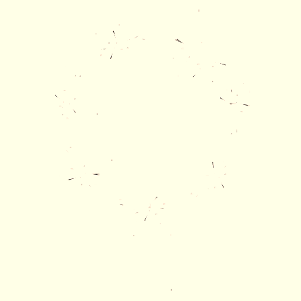 OC1C(O)C(O)C(O)C(O)C1O.OC[C@H]1O[C@@H]2O[C@H]3[C@H](O)[C@@H](O)[C@@H](O[C@H]4[C@H](O)[C@@H](O)[C@@H](O[C@H]5[C@H](O)[C@@H](O)[C@@H](O[C@H]6[C@H](O)[C@@H](O)[C@@H](O[C@H]7[C@H](O)[C@@H](O)[C@@H](O[C@H]8[C@H](O)[C@@H](O)[C@@H](O[C@H]1[C@H](O)[C@H]2O)O[C@@H]8CO)O[C@@H]7CO)O[C@@H]6CO)O[C@@H]5CO)O[C@@H]4CO)O[C@@H]3CO